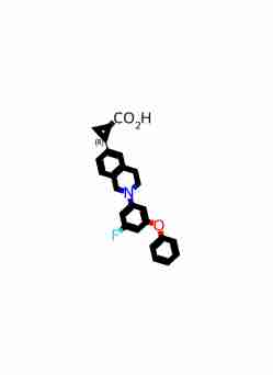 O=C(O)C1C[C@H]1c1ccc2c(c1)CCN(c1cc(F)cc(Oc3ccccc3)c1)C2